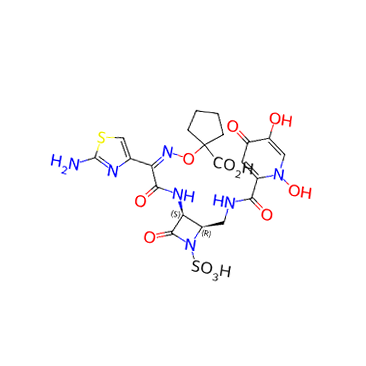 Nc1nc(C(=NOC2(C(=O)O)CCCC2)C(=O)N[C@@H]2C(=O)N(S(=O)(=O)O)[C@@H]2CNC(=O)c2cc(=O)c(O)cn2O)cs1